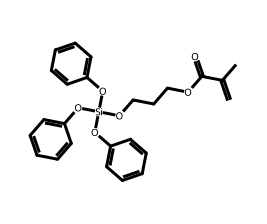 C=C(C)C(=O)OCCCO[Si](Oc1ccccc1)(Oc1ccccc1)Oc1ccccc1